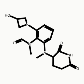 CN(C=O)c1c(N2CC(O)C2)cccc1N(C)C1CCC(=O)NC1=O